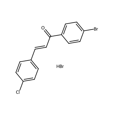 Br.O=C(C=Cc1ccc(Cl)cc1)c1ccc(Br)cc1